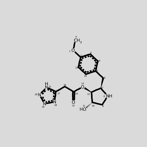 COc1ccc(C[C@H]2NC[C@H](O)[C@H]2OC(=O)Cc2nnn[nH]2)cc1